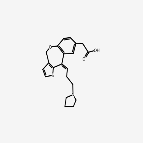 O=C(O)Cc1ccc2c(c1)C(=CCCN1CCCC1)c1sccc1CO2